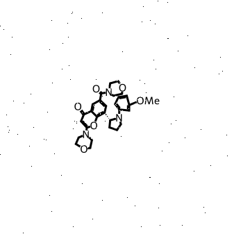 COc1cccc(N2CCC[C@@H]2c2cc(C(=O)N3CCOCC3)cc3c(=O)cc(N4CCOCC4)oc23)c1